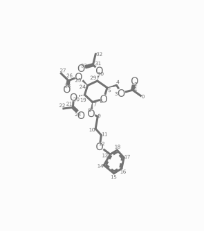 CC(=O)OC[C@H]1O[C@@H](OCCCOc2ccccc2)[C@H](OC(C)=O)[C@@H](OC(C)=O)[C@@H]1OC(C)=O